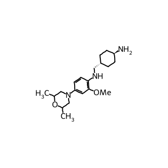 COc1cc(N2CC(C)OC(C)C2)ccc1NC[C@H]1CC[C@H](N)CC1